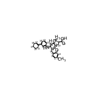 Cc1ccc(CN2C(=O)N(C[C@H](C)C(=O)O)C(=O)NC2Nc2cccc(C3=CCCCC3)c2)cc1